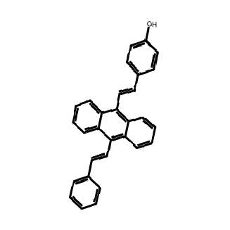 Oc1ccc(C=Cc2c3ccccc3c(C=Cc3ccccc3)c3ccccc23)cc1